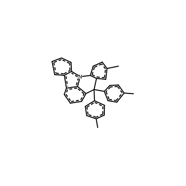 Cc1ccc(C2(c3ccc(C)cc3)c3cc(C)ccc3-n3c4ccccc4c4cccc2c43)cc1